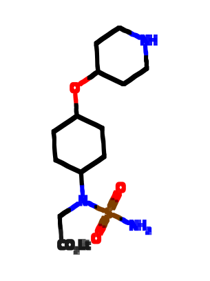 CCOC(=O)CN(C1CCC(OC2CCNCC2)CC1)S(N)(=O)=O